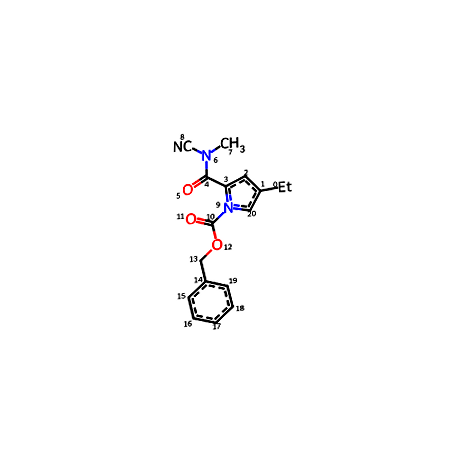 CCc1cc(C(=O)N(C)C#N)n(C(=O)OCc2ccccc2)c1